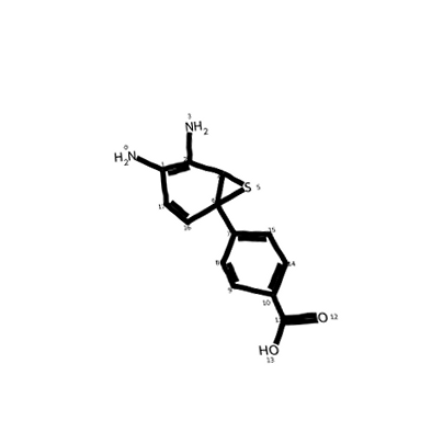 NC1=C(N)C2SC2(c2ccc(C(=O)O)cc2)C=C1